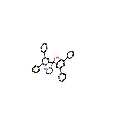 OC(c1cc(-c2ccccc2)cc(-c2ccccc2)c1)(c1cc(-c2ccccc2)cc(-c2ccccc2)c1)[C@H]1CCCN1